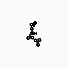 N=C/C(=C\NCn1c2ccccc2c2cc(-c3ccc4c(c3)c3ccccc3n4-c3ccccc3)ccc21)c1ccc(-c2cccc3c2sc2ccccc23)cc1